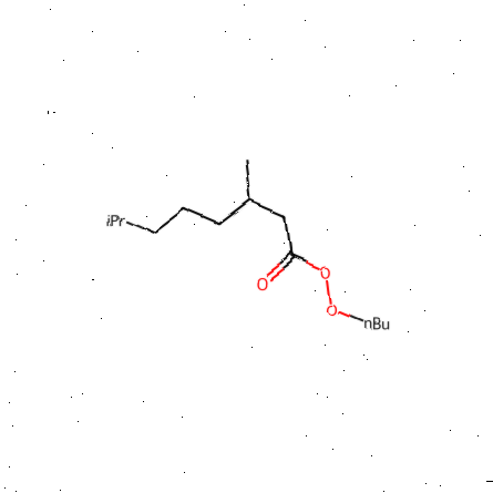 CCCCOOC(=O)CC(C)CCCC(C)C